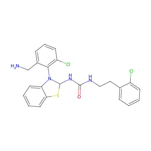 NCc1cccc(Cl)c1N1c2ccccc2SC1NC(=O)NCCc1ccccc1Cl